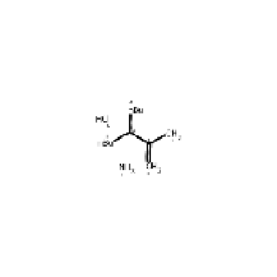 C=C(C)C(CCCC)CCCC.Cl.N